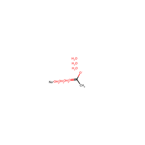 CC(=O)[O-].O.O.O.O.O.O.[Na+]